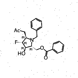 CC(=O)C[C@@H]1[C@@H](F)[C@H](O)[C@@H](COC(=O)c2ccccc2)N1Cc1ccccc1